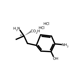 C[C@@](N)(Cc1ccc(N)c(O)c1)C(=O)O.Cl.Cl